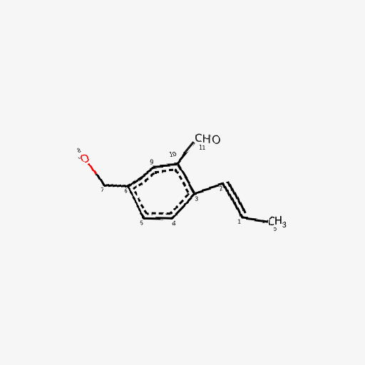 C/C=C/c1ccc(C[O])cc1C=O